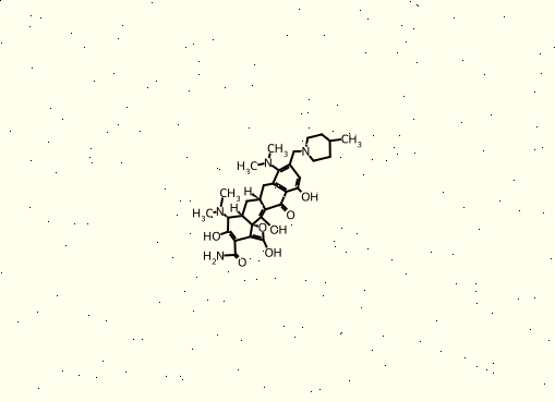 CC1CCN(Cc2cc(O)c3c(c2N(C)C)C[C@H]2C[C@H]4[C@H](N(C)C)C(O)=C(C(N)=O)C5=C(O)O[C@@]54C(O)=C2C3=O)CC1